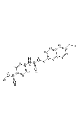 CCc1ccc2cc(COC(=O)Nc3ccc(C(=O)OC)cc3)ccc2c1